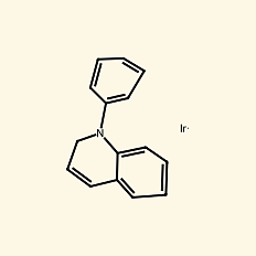 C1=Cc2ccccc2N(c2ccccc2)C1.[Ir]